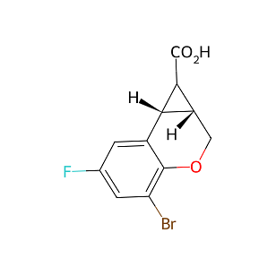 O=C(O)C1[C@H]2c3cc(F)cc(Br)c3OC[C@@H]12